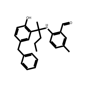 CCCC(C)(Pc1ccc(C)cc1C=O)c1cc(Cc2ccccc2)ccc1O